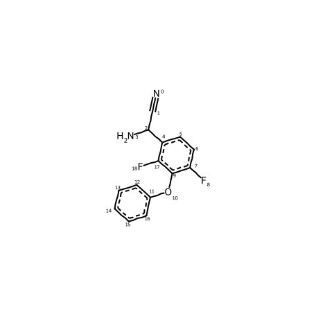 N#CC(N)c1ccc(F)c(Oc2ccccc2)c1F